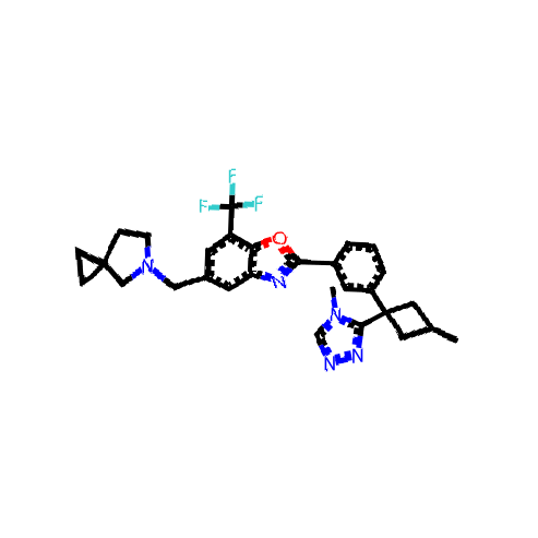 CC1CC(c2cccc(-c3nc4cc(CN5CCC6(CC6)C5)cc(C(F)(F)F)c4o3)c2)(c2nncn2C)C1